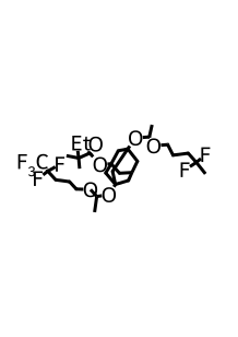 CCC(C)(C)C(=O)OC12CC3CC(OC(C)OCCCC(C)(F)F)(C1)CC(OC(C)OCCCC(F)(F)C(F)(F)F)(C3)C2